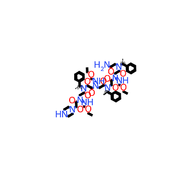 CCOC(=O)NN(CC(=O)N(CC(N)=O)[C@H](C)c1ccccc1)C(=O)CN(C(=O)CN(NC(=O)OCC)C(=O)CN(C(=O)CN(NC(=O)OCC)C(=O)CN1CCNCC1)[C@H](C)c1ccccc1)[C@H](C)c1ccccc1